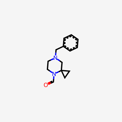 O=CN1CCN(Cc2ccccc2)CC12CC2